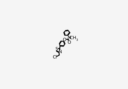 CN(C(=O)Oc1ccc(-c2nc(CCl)cs2)cc1)c1ccccc1